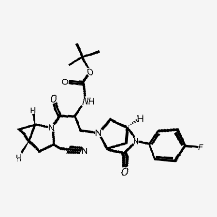 CC(C)(C)OC(=O)NC(CN1C[C@@H]2CC1C(=O)N2c1ccc(F)cc1)C(=O)N1C(C#N)C[C@@H]2C[C@@H]21